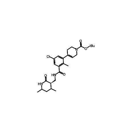 Cc1c(C(=O)NC[C@@H]2C(=O)NC(C)CC2C)cc(Cl)cc1C1=CCN(C(=O)OC(C)(C)C)CC1